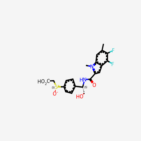 Cc1cc2c(cc(C(=O)N[C@H](CO)c3ccc([S@+]([O-])CC(=O)O)cc3)n2C)c(F)c1F